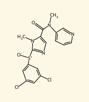 CN(C(=O)c1cnc([S+]([O-])c2cc(Cl)cc(Cl)c2)n1C)c1cccnc1